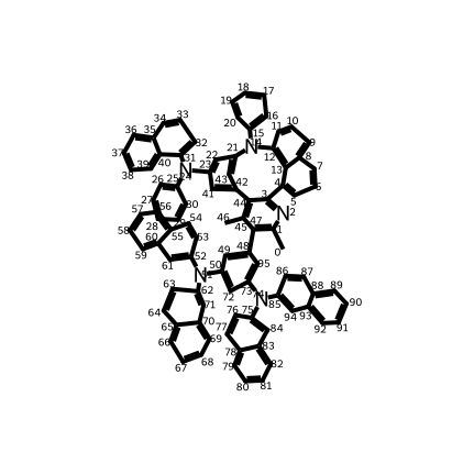 Cc1nc2c3cccc4cccc(c43)n(-c3ccccc3)c3cc(N(c4ccccc4)c4cccc5ccccc45)cc(c3)c2c(C)c1-c1cc(N(c2ccc3ccccc3c2)c2ccc3ccccc3c2)cc(N(c2ccc3ccccc3c2)c2ccc3ccccc3c2)c1